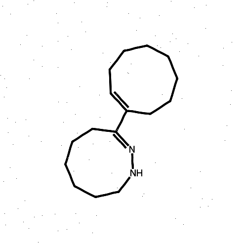 C1=C(/C2=N/NCCCCCC2)CCCCCCC/1